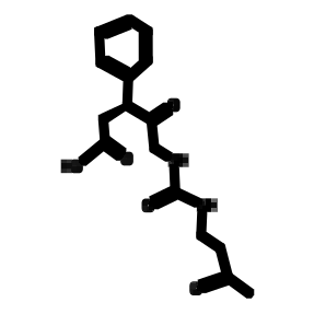 CC(=O)CCNC(=O)NCC(=O)[C@@H](CC(=O)O)c1ccccc1